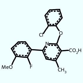 COc1cccc(-c2cc(C)c(C(=O)O)c(Oc3ccccc3Cl)n2)c1F